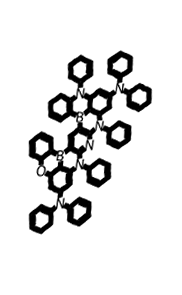 C1=CCCC(N(C2=CC3C4B(C5=C(CCC=C5)N3C3C=CCCC3)c3cc5c(nc3N(C3C=CC=CC3)C4C2)N(C2C=CC=CC2)C2=CC(N(C3=CC=CCC3)c3ccccc3)CC3OC4C=CC=CC4B5C23)C2C=CCCC2)=C1